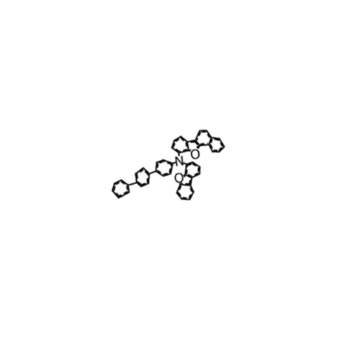 c1ccc(-c2ccc(-c3ccc(N(c4cccc5c4oc4ccccc45)c4cccc5c4oc4c6ccccc6ccc54)cc3)cc2)cc1